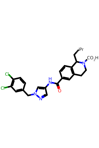 CC(C)CC1c2ccc(C(=O)Nc3cnn(Cc4ccc(Cl)c(Cl)c4)c3)cc2CCN1C(=O)O